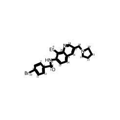 CCc1c(NC(=O)c2ccc(Br)cc2)ccc2cc(CN3CCCC3)cnc12